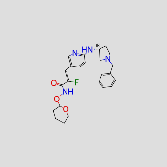 O=C(NOC1CCCCO1)C(F)=Cc1ccc(N[C@@H]2CCN(Cc3ccccc3)C2)nc1